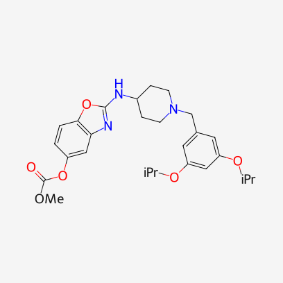 COC(=O)Oc1ccc2oc(NC3CCN(Cc4cc(OC(C)C)cc(OC(C)C)c4)CC3)nc2c1